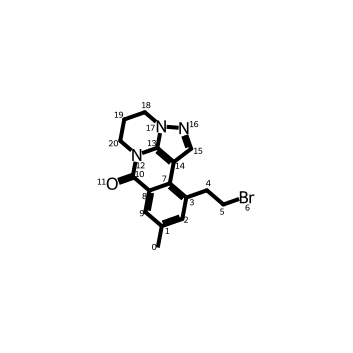 Cc1cc(CCBr)c2c(c1)c(=O)n1c3c2cnn3CCC1